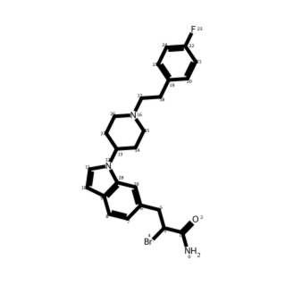 NC(=O)C(Br)Cc1ccc2ccn(C3CCN(CCc4ccc(F)cc4)CC3)c2c1